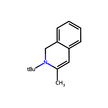 CC1=Cc2ccccc2CN1C(C)(C)C